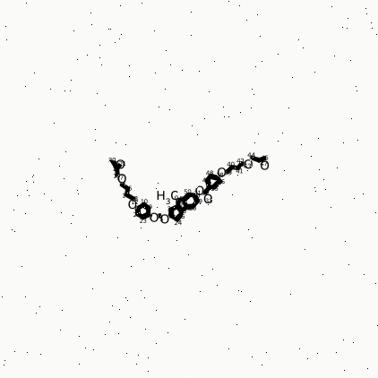 CC1c2cc(OCOc3ccc(OCCCCOCC4CO4)cc3)ccc2-c2ccc(OC(=O)c3ccc(OCCCCOCC4CO4)cc3)cc21